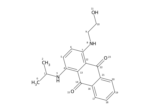 CC(C)Nc1ccc(NCCO)c2c1C(=O)c1ccccc1C2=O